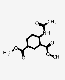 COC(=O)C1CCC(NC(C)=O)C(C(=O)OC)C1